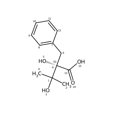 CC(C)(O)[C@@](O)(Cc1ccccc1)C(=O)O